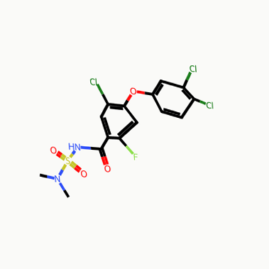 CN(C)S(=O)(=O)NC(=O)c1cc(Cl)c(Oc2ccc(Cl)c(Cl)c2)cc1F